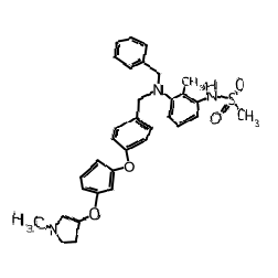 Cc1c(NS(C)(=O)=O)cccc1N(Cc1ccccc1)Cc1ccc(Oc2cccc(OC3CCN(C)C3)c2)cc1